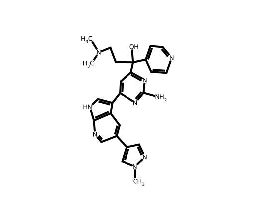 CN(C)CCC(O)(c1ccncc1)c1cc(-c2c[nH]c3ncc(-c4cnn(C)c4)cc23)nc(N)n1